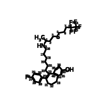 CC(CCSCCCC(F)(F)C(F)(F)F)NCCCCCCC1=C(c2ccc(F)cc2)CCCc2cc(O)ccc21